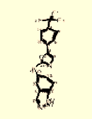 FC(F)(F)c1ccc(-c2cnc(Nc3ccc4[nH]ncc4c3)o2)cc1